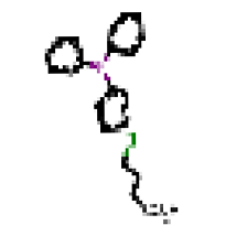 O=C(O)CCCCl.c1ccc(P(c2ccccc2)c2ccccc2)cc1